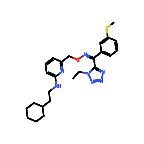 CCn1nnnc1C(=NOCc1cccc(NCCC2CCCCC2)n1)c1cccc(SC)c1